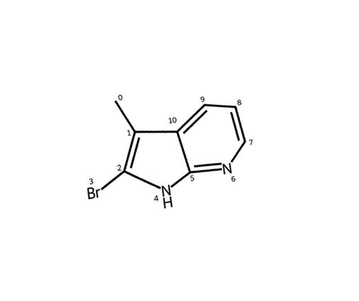 Cc1c(Br)[nH]c2ncccc12